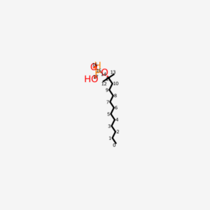 CCCCCCCCCCCC(C)(C)O[PH](=O)O